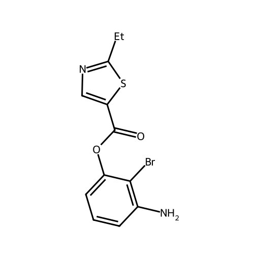 CCc1ncc(C(=O)Oc2cccc(N)c2Br)s1